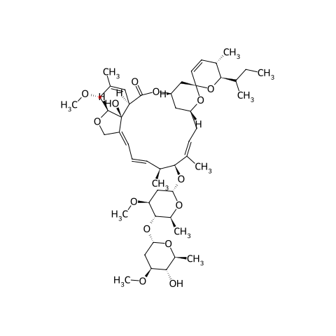 CCC(C)[C@H]1O[C@]2(C=C[C@@H]1C)C[C@@H]1C[C@@H](C/C=C(\C)[C@@H](O[C@H]3C[C@H](OC)[C@@H](O[C@H]4C[C@H](OC)[C@@H](O)[C@H](C)O4)[C@H](C)O3)[C@@H](C)/C=C/C=C3\CO[C@@H]4[C@H](OC)C(C)=C[C@@H](C(=O)O1)[C@]34O)O2